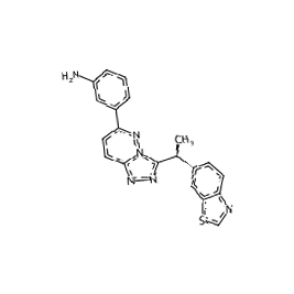 C[C@@H](c1ccc2ncsc2c1)c1nnc2ccc(-c3cccc(N)c3)nn12